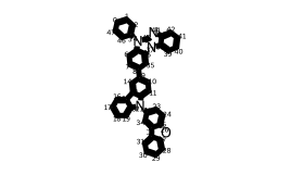 c1ccc(-n2c3ccc(-c4ccc5c(c4)c4ccccc4n5-c4ccc5oc6ccccc6c5c4)cc3n3c4ccccc4nc23)cc1